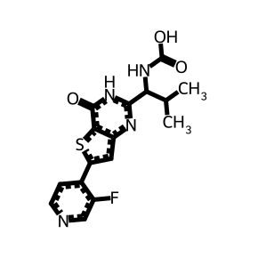 CC(C)C(NC(=O)O)c1nc2cc(-c3ccncc3F)sc2c(=O)[nH]1